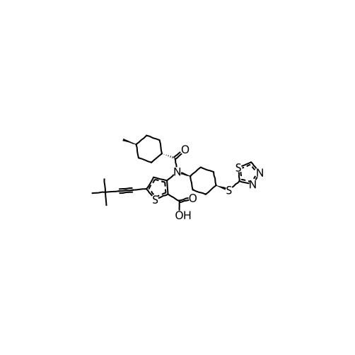 CC(C)(C)C#Cc1cc(N(C(=O)[C@H]2CC[C@H](C)CC2)[C@H]2CC[C@@H](Sc3nncs3)CC2)c(C(=O)O)s1